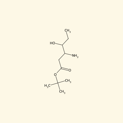 CCC(O)C(N)CC(=O)OC(C)(C)C